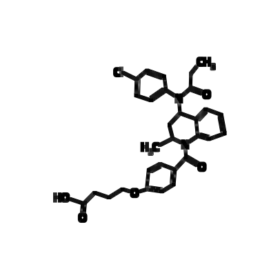 CCC(=O)N(c1ccc(Cl)cc1)C1CC(C)N(C(=O)c2ccc(OCCCC(=O)O)cc2)c2ccccc21